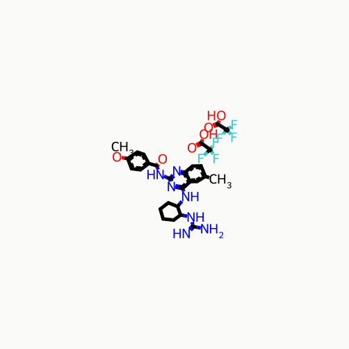 COc1ccc(C(=O)Nc2nc(NC3CCCCC3NC(=N)N)c3cc(C)ccc3n2)cc1.O=C(O)C(F)(F)F.O=C(O)C(F)(F)F